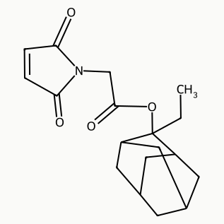 CCC1(OC(=O)CN2C(=O)C=CC2=O)C2CC3CC(C2)CC1C3